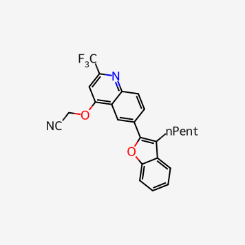 CCCCCc1c(-c2ccc3nc(C(F)(F)F)cc(OCC#N)c3c2)oc2ccccc12